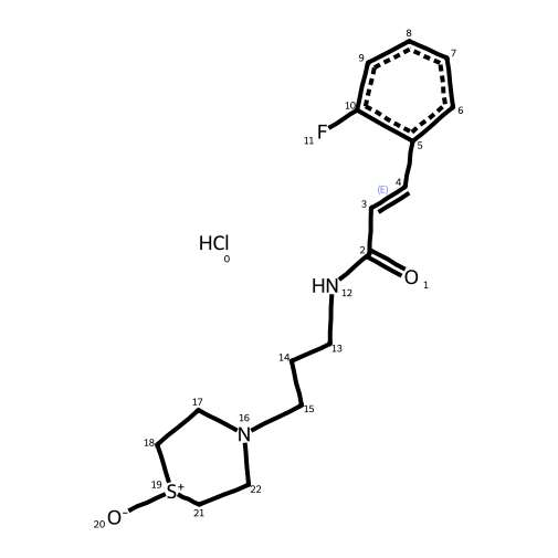 Cl.O=C(/C=C/c1ccccc1F)NCCCN1CC[S+]([O-])CC1